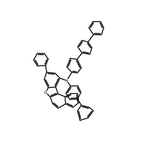 c1ccc(-c2ccc(-c3ccc(N(c4ccc(-c5ccccc5)cc4)c4cc(-c5ccccc5)cc5oc6ccc7ccccc7c6c45)cc3)cc2)cc1